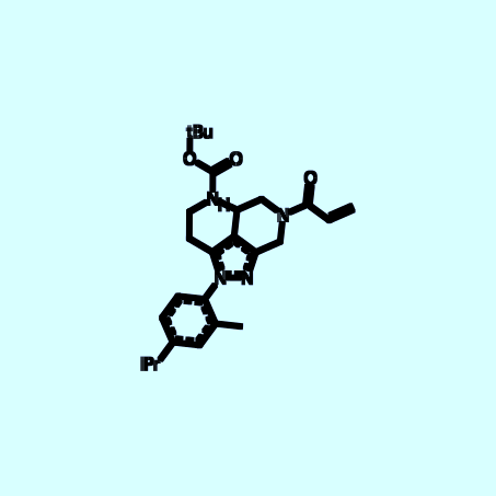 C=CC(=O)N1Cc2nn(-c3ccc(C(C)C)cc3C)c3c2[C@H](C1)N(C(=O)OC(C)(C)C)CC3